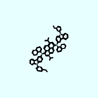 CCc1cccc(-n2c3ccccc3c3cc(N(c4cccc5c4CCCC5)c4cc(C(C)C)c5ccc6c(N(c7ccc8c(c7)c7ccccc7n8-c7cccc(CC)c7)c7cccc8c7CCCC8)cc(C(C)C)c7ccc4c5c76)ccc32)c1